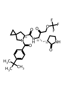 CC(C)(C)c1ccc(C(=O)N2CC3(CC3)C[C@H]2C(=O)N[C@@H](C[C@@H]2CCNC2=O)C(=O)COC(F)(F)F)cc1